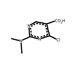 CN(C)c1ncc(C(=O)O)c(Cl)n1